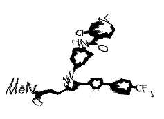 CNC(=O)CCc1cc(-c2ccc(-c3ccc(C(F)(F)F)cc3)cc2)n(-c2ccc(NC(=O)c3ccncc3Cl)cc2)n1